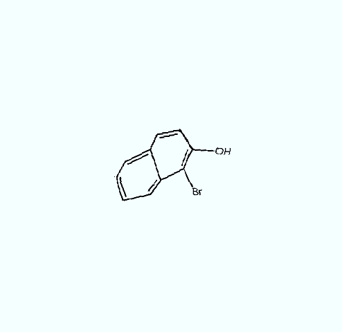 Oc1ccc2c[c]ccc2c1Br